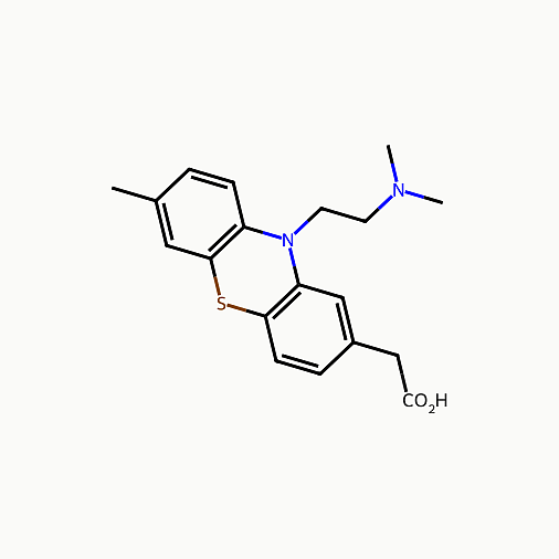 Cc1ccc2c(c1)Sc1ccc(CC(=O)O)cc1N2CCN(C)C